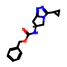 O=C(N[C@H]1Cc2nnc(C3CC3)n2C1)OCc1ccccc1